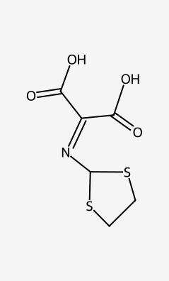 O=C(O)C(=NC1SCCS1)C(=O)O